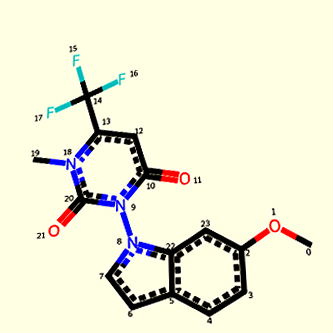 COc1ccc2ccn(-n3c(=O)cc(C(F)(F)F)n(C)c3=O)c2c1